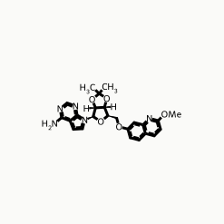 COc1ccc2ccc(OC[C@H]3O[C@@H](n4ccc5c(N)ncnc54)[C@@H]4OC(C)(C)O[C@@H]43)cc2n1